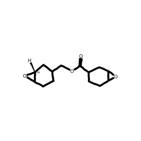 O=C(OCC1CCC2O[C@@H]2C1)C1CCC2OC2C1